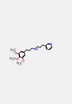 COc1cc(CCCNCCCc2cccnc2)cc(OC)c1OC